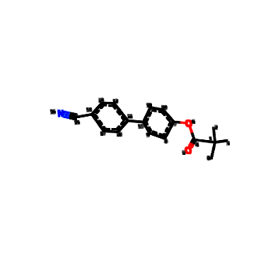 CC(C)(C)C(=O)Oc1ccc(-c2ccc(C#N)cc2)cc1